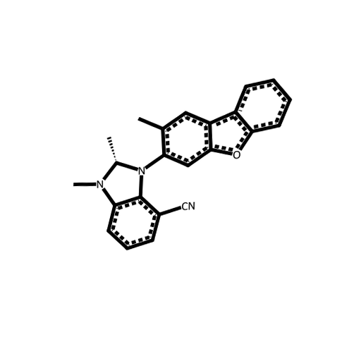 Cc1cc2c(cc1N1c3c(C#N)cccc3N(C)[C@@H]1C)oc1ccccc12